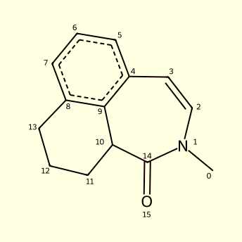 CN1C=Cc2cccc3c2C(CCC3)C1=O